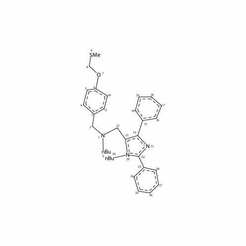 CCCCN(Cc1ccc(OCSC)cc1)Cc1c(-c2ccccc2)nc(-c2ccccc2)n1CCCC